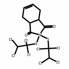 O=C1C2CC=CCC2C(=O)[N+]1(SC(Cl)(Cl)C(Cl)Cl)SC(Cl)(Cl)C(Cl)Cl